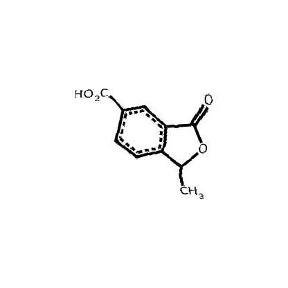 CC1OC(=O)c2cc(C(=O)O)ccc21